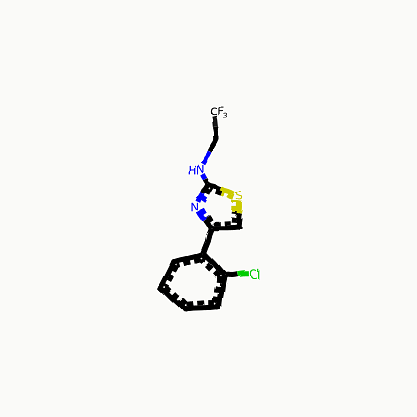 FC(F)(F)CNc1nc(-c2ccccc2Cl)cs1